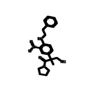 CC(CO)(C(=O)N1CCCC1)c1ccc(NCCc2ccccc2)c([N+](=O)[O-])c1